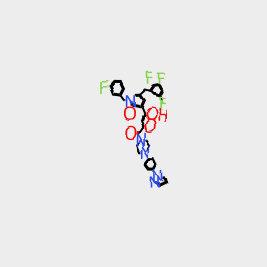 O=C(C=C(O)c1cc(Cc2cc(F)cc(F)c2F)cn(Cc2cccc(F)c2)c1=O)C(=O)N1CCN(c2ccc(-n3cccn3)cc2)CC1